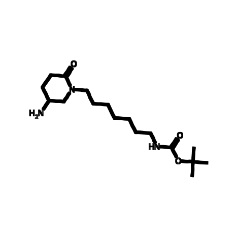 CC(C)(C)OC(=O)NCCCCCCCN1CC(N)CCC1=O